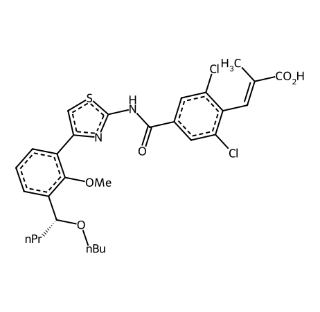 CCCCO[C@H](CCC)c1cccc(-c2csc(NC(=O)c3cc(Cl)c(C=C(C)C(=O)O)c(Cl)c3)n2)c1OC